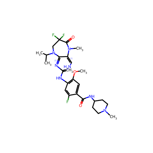 C=C(/N=C1\C(=C/N)N(C)C(=O)C(F)(F)CN1C(C)C)Nc1cc(F)c(C(=O)NC2CCN(C)CC2)cc1OC